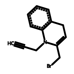 C#CCN1C(CBr)=CCc2ccccc21